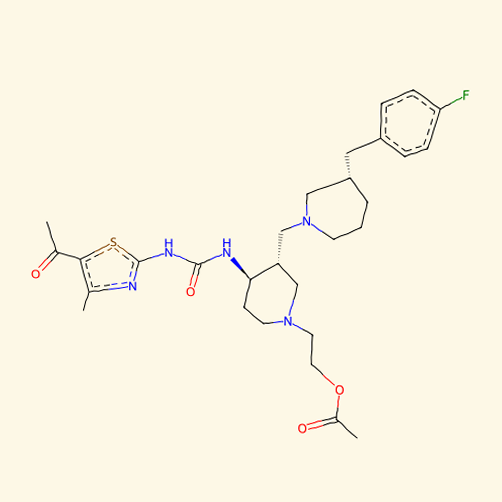 CC(=O)OCCN1CC[C@@H](NC(=O)Nc2nc(C)c(C(C)=O)s2)[C@H](CN2CCC[C@@H](Cc3ccc(F)cc3)C2)C1